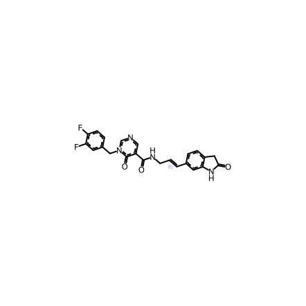 O=C1Cc2ccc(/C=C/CNC(=O)c3cncn(Cc4ccc(F)c(F)c4)c3=O)cc2N1